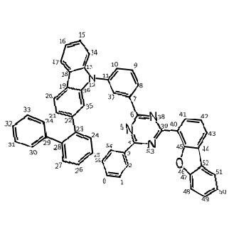 c1ccc(-c2nc(-c3cccc(-n4c5ccccc5c5ccc(-c6ccccc6-c6ccccc6)cc54)c3)nc(-c3cccc4c3oc3ccccc34)n2)cc1